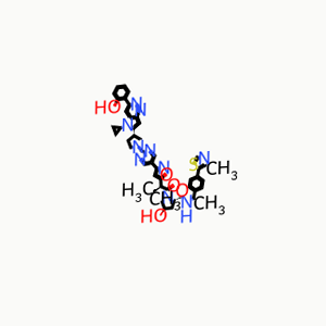 Cc1ncsc1-c1ccc([C@H](C)NC(=O)[C@@H]2C[C@@H](O)CN2C(=O)[C@H](c2cc(-c3cnc(N4CC[C@H](c5cc6nnc(-c7ccccc7O)cc6n5C5CC5)C4)nc3)no2)C(C)C)cc1